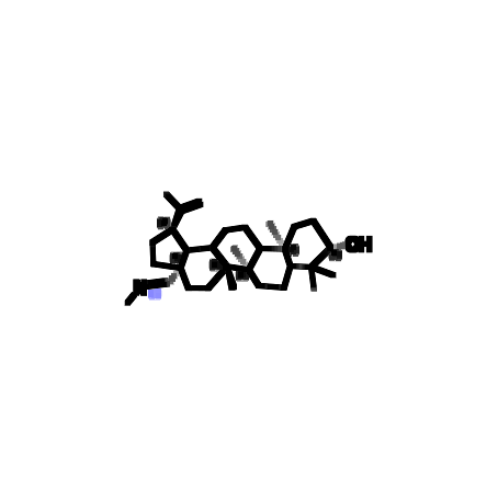 C=C(C)[C@@H]1CC[C@]2(/C=N/C)CC[C@]3(C)C(CCC4[C@@]5(C)CC[C@H](O)C(C)(C)C5CC[C@]43C)C12